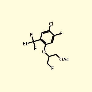 CCC(F)(F)c1cc(Cl)c(F)cc1OC(CF)COC(C)=O